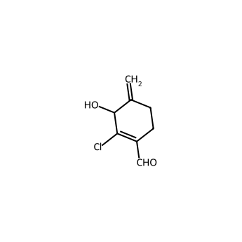 C=C1CCC(C=O)=C(Cl)C1O